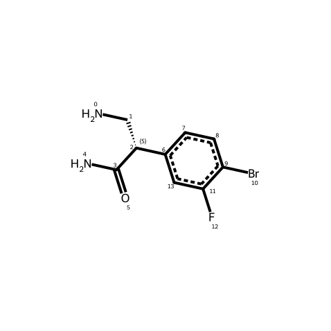 NC[C@@H](C(N)=O)c1ccc(Br)c(F)c1